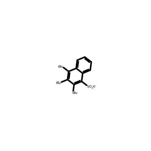 CC(C)(C)c1c(C(C)(C)C)c(S(=O)(=O)O)c2ccccc2c1C(C)(C)C